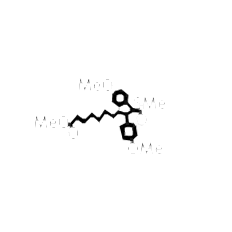 COC(=O)C=CCCCCCC1c2ccc(OC)cc2OCC1(SC)c1ccc(OC)cc1